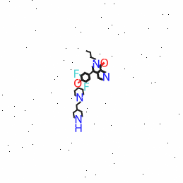 CCCCn1cc(-c2cc(F)c(OC3CCN(CCC4CCNCC4)CC3)c(F)c2)c2ccncc2c1=O